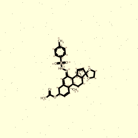 CC(=O)OC1C=C[C@@]2(C)C(=CC(=NNS(=O)(=O)c3ccc(C)cc3)C3C2CC[C@@]2(C)C3C=CC23OCCO3)C1